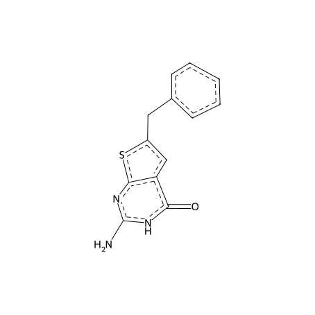 Nc1nc2sc(Cc3ccccc3)cc2c(=O)[nH]1